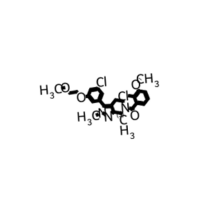 COCCOc1cc(Cl)cc(-c2c3c(nn2C)[C@H](C)N(C(=O)c2cccc(OC)c2Cl)CC3)c1